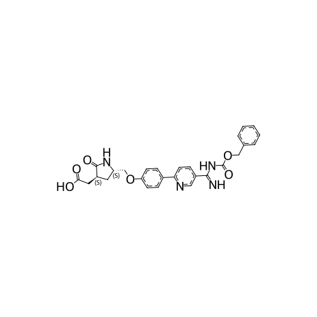 N=C(NC(=O)OCc1ccccc1)c1ccc(-c2ccc(OC[C@@H]3C[C@@H](CC(=O)O)C(=O)N3)cc2)nc1